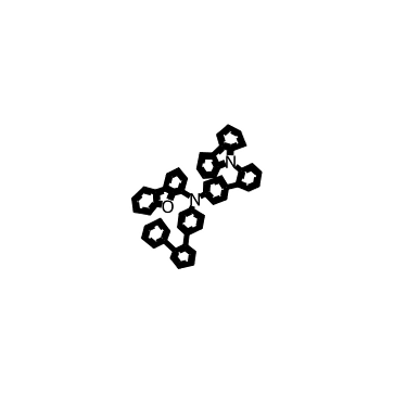 c1ccc(-c2ccccc2-c2ccc(N(c3ccc(-c4ccccc4-n4c5ccccc5c5ccccc54)cc3)c3cccc4c3oc3ccccc34)cc2)cc1